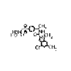 Cc1cc(Cl)c2cc(C(=O)NC(C)c3ccc(S(=O)(=O)CC(=O)NO)cc3)n(C)c2c1